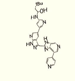 CC(C)(C)CC(O)Nc1cncc(-c2cnc3[nH]nc(-c4nc5c(-c6ccncc6)cncc5[nH]4)c3c2)c1